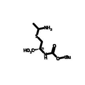 CC(N)SC[C@H](NC(=O)OC(C)(C)C)C(=O)O